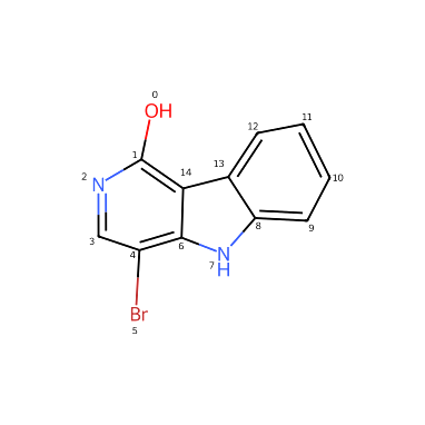 Oc1ncc(Br)c2[nH]c3ccccc3c12